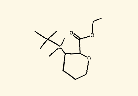 CCOC(=O)C1OCCCC1[Si](C)(C)C(C)(C)C